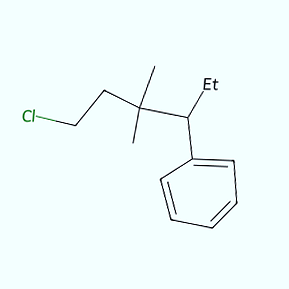 [CH2]CC(c1ccccc1)C(C)(C)CCCl